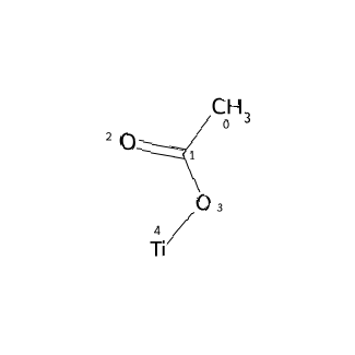 CC(=O)[O][Ti]